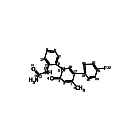 Cc1cc(=O)n(-c2ccccc2NC(N)=O)cc1-c1ccc(F)cc1